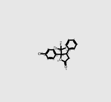 O=C1CC(c2ccccc2)C(c2ccc(Cl)cc2)(C(F)(F)F)O1